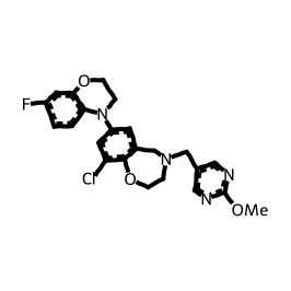 COc1ncc(CN2CCOc3c(Cl)cc(N4CCOc5cc(F)ccc54)cc3C2)cn1